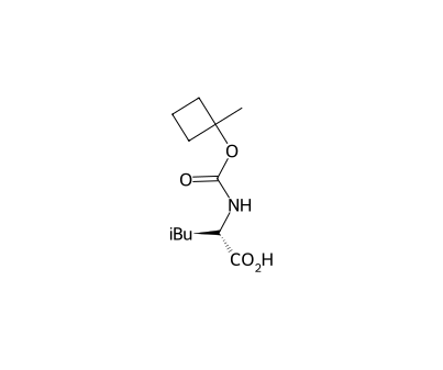 CC[C@H](C)[C@H](NC(=O)OC1(C)CCC1)C(=O)O